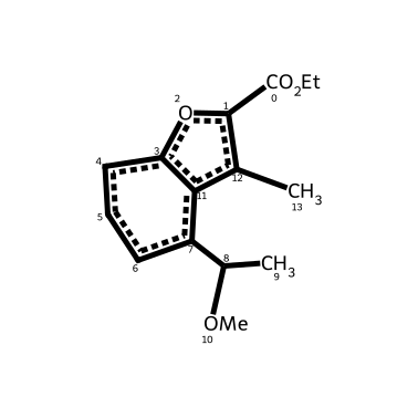 CCOC(=O)c1oc2cccc(C(C)OC)c2c1C